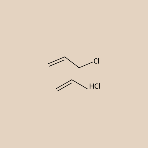 C=CC.C=CCCl.Cl